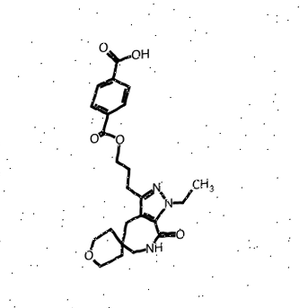 CCn1nc(CCCOC(=O)c2ccc(C(=O)O)cc2)c2c1C(=O)NCC1(CCOCC1)C2